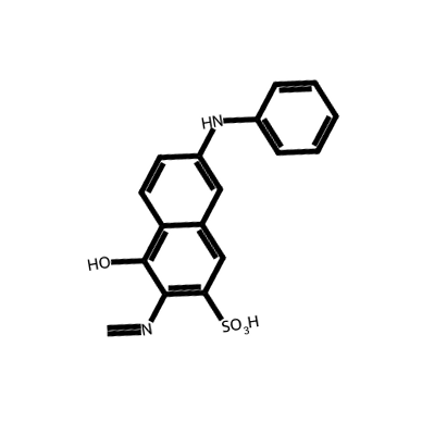 C=Nc1c(S(=O)(=O)O)cc2cc(Nc3ccccc3)ccc2c1O